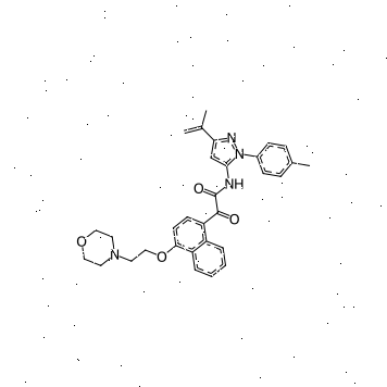 C=C(C)c1cc(NC(=O)C(=O)c2ccc(OCCN3CCOCC3)c3ccccc23)n(-c2ccc(C)cc2)n1